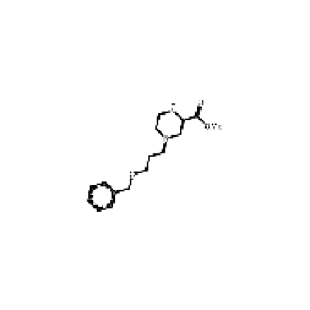 COC(=O)C1CN(CCCOCc2ccccc2)CCN1